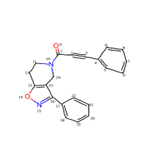 O=C(C#Cc1ccccc1)N1CCc2onc(-c3ccccc3)c2C1